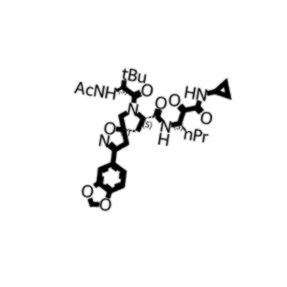 CCC[C@H](NC(=O)[C@@H]1C[C@@]2(CC(c3ccc4c(c3)OCO4)=NO2)CN1C(=O)[C@@H](NC(C)=O)C(C)(C)C)C(=O)C(=O)NC1CC1